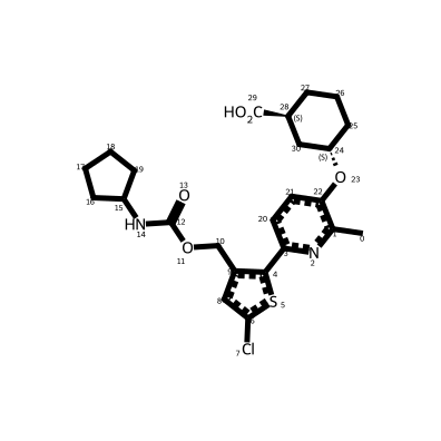 Cc1nc(-c2sc(Cl)cc2COC(=O)NC2CCCC2)ccc1O[C@H]1CCC[C@H](C(=O)O)C1